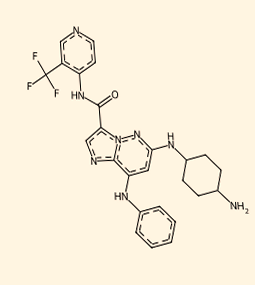 NC1CCC(Nc2cc(Nc3ccccc3)c3ncc(C(=O)Nc4ccncc4C(F)(F)F)n3n2)CC1